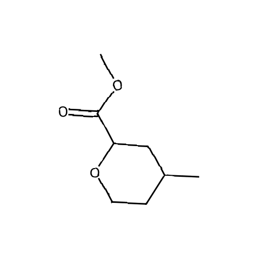 COC(=O)C1CC(C)CCO1